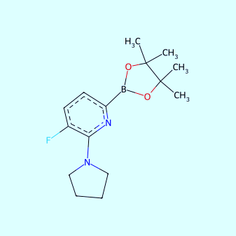 CC1(C)OB(c2ccc(F)c(N3CCCC3)n2)OC1(C)C